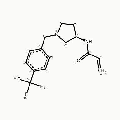 C=CC(=O)N[C@@H]1CCN(Cc2ccc(C(F)(F)F)cc2)C1